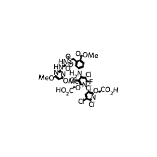 COC(=O)c1ccccc1CS(=O)(=O)NC(=O)Nc1nc(OC)cc(OC)n1.Nc1c(Cl)c(F)nc(OCC(=O)O)c1Cl.O=C(O)COc1nc(Cl)c(Cl)cc1Cl